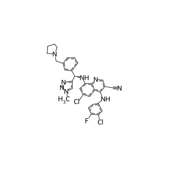 Cn1cc([C@H](Nc2cc(Cl)cc3c(Nc4ccc(F)c(Cl)c4)c(C#N)cnc23)c2cccc(CN3CCCC3)c2)nn1